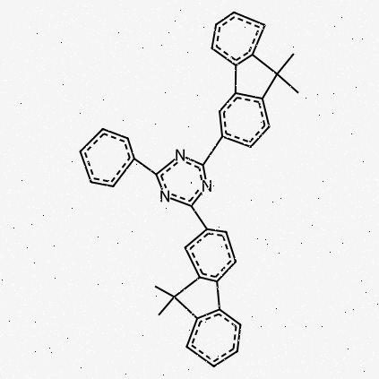 CC1(C)c2ccccc2-c2cc(-c3nc(-c4ccccc4)nc(-c4ccc5c(c4)C(C)(C)c4ccccc4-5)n3)ccc21